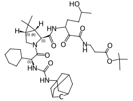 CC(O)CCC(NC(=O)[C@@H]1[C@@H]2[C@H](CN1C(=O)[C@@H](NC(=O)NC13CC4CC(CC(C4)C1)C3)C1CCCCC1)C2(C)C)C(=O)C(=O)NCCC(=O)OC(C)(C)C